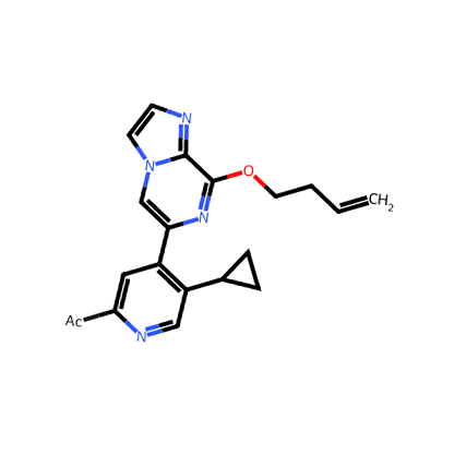 C=CCCOc1nc(-c2cc(C(C)=O)ncc2C2CC2)cn2ccnc12